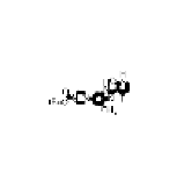 Cc1cc(N2CCN(C(=O)OC(C)(C)C)CC2)cc2[nH]c(-c3c(I)cc[nH]c3=O)nc12